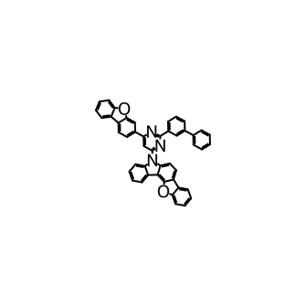 c1ccc(-c2cccc(-c3nc(-c4ccc5c(c4)oc4ccccc45)cc(-n4c5ccccc5c5c6oc7ccccc7c6ccc54)n3)c2)cc1